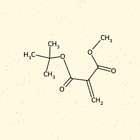 C=C(C(=O)OC)C(=O)OC(C)(C)C